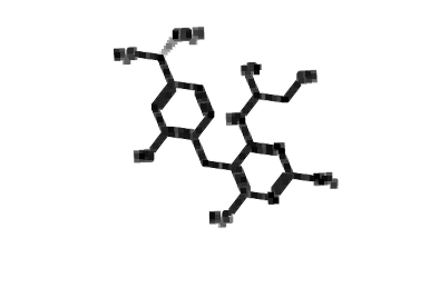 CCCC(CO)Nc1nc(N)nc(C)c1Cc1ccc([C@H](C)C(=O)O)cc1O